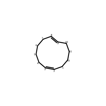 [CH]1C/C=C\CCCC/C=C/CC1